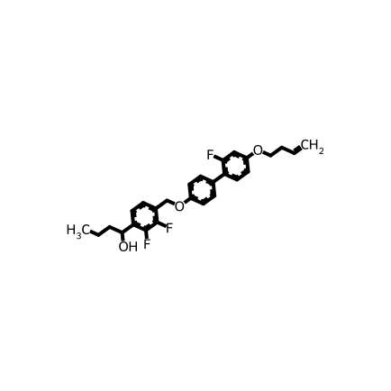 C=CCCOc1ccc(-c2ccc(OCc3ccc(C(O)CCC)c(F)c3F)cc2)c(F)c1